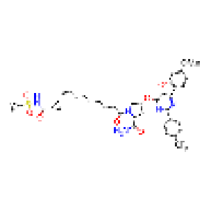 COc1ccc2c(c1)oc1c(O[C@@H]3C[C@@H](C(N)=O)N(C(=O)CCCCCC/C=C\[C@@H]4C[C@@H]4C(=O)NS(=O)(=O)C4CC4)C3)nc(-c3ccc(C(F)(F)F)cc3)nc12